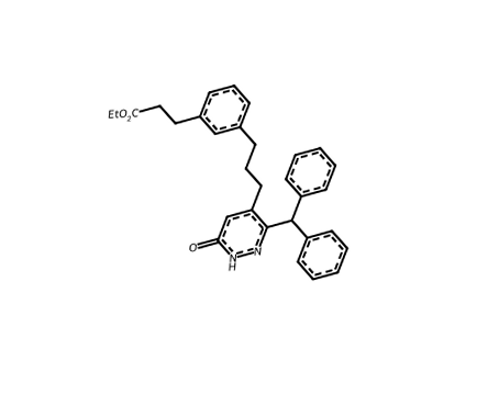 CCOC(=O)CCc1cccc(CCCc2cc(=O)[nH]nc2C(c2ccccc2)c2ccccc2)c1